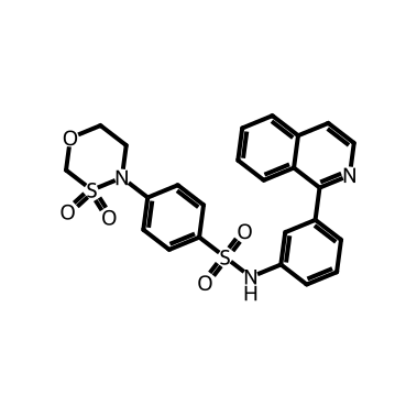 O=S(=O)(Nc1cccc(-c2nccc3ccccc23)c1)c1ccc(N2CCOCS2(=O)=O)cc1